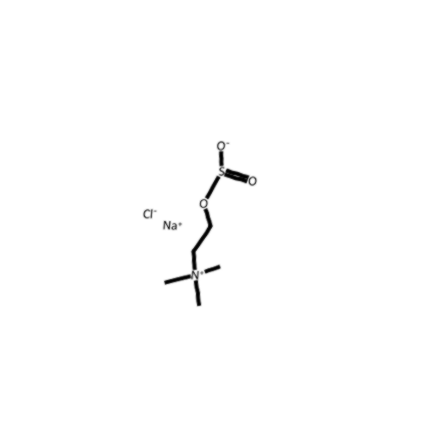 C[N+](C)(C)CCOS(=O)[O-].[Cl-].[Na+]